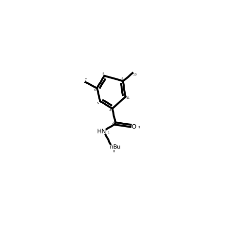 CCCCNC(=O)c1cc(C)cc(C)c1